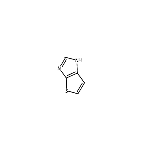 [c]1nc2sccc2[nH]1